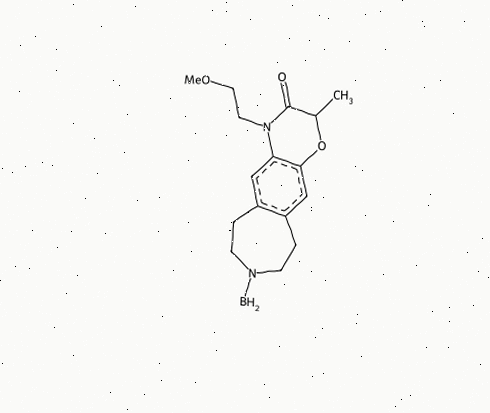 BN1CCc2cc3c(cc2CC1)N(CCOC)C(=O)C(C)O3